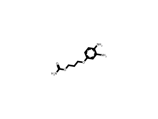 NC(=O)OCCCOc1ccc(N)c(N)c1